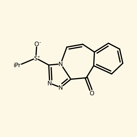 CC(C)[S+]([O-])c1nnc2c(=O)c3ccccc3ccn12